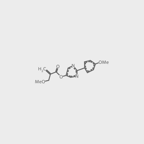 C=C(COC)C(=O)Oc1cnc(-c2ccc(OC)cc2)nc1